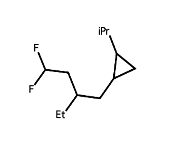 CCC(CC(F)F)CC1CC1C(C)C